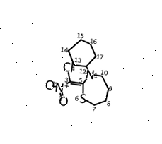 O=[N+]([O-])C(Cl)=C1SCCCCN1C1CCCCC1